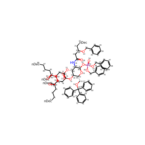 CCCCCCCCCCCCCC(=O)O[C@H](CCCCCCCCCCC)CC(=O)O[C@@H]1[C@@H](NC(=O)C[C@@H](CCCCCCCCCCC)OCc2ccccc2)[C@@H](OP(=O)(OCc2ccccc2)OCc2ccccc2)O[C@H](COC(c2ccccc2)(c2ccccc2)c2ccccc2)[C@H]1OC(=O)C[C@@H](CCCCCCCCCCC)OC(=O)CCCCCCCCCCCCC